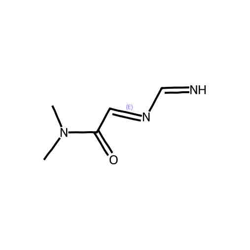 CN(C)C(=O)/C=N/C=N